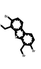 BrCc1c(Br)ccc2c1sc1c(CBr)c(Br)ccc12